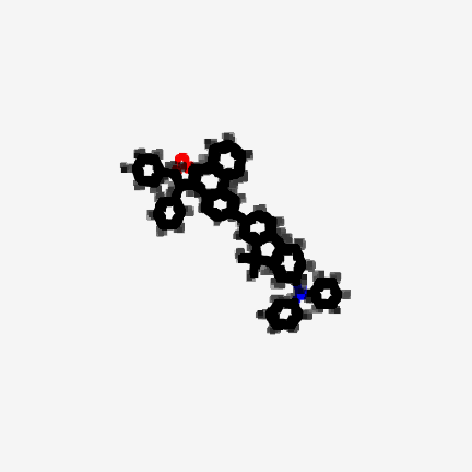 CC1(C)c2cc(-c3ccc4c(c3)c3ccccc3c3oc(-c5ccccc5)c(-c5ccccc5)c43)ccc2-c2ccc(N(c3ccccc3)c3ccccc3)cc21